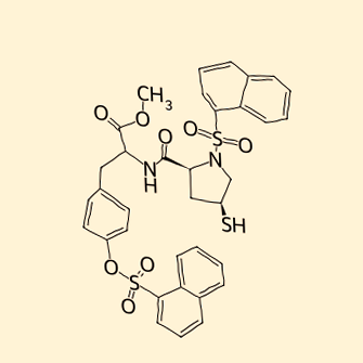 COC(=O)C(Cc1ccc(OS(=O)(=O)c2cccc3ccccc23)cc1)NC(=O)[C@@H]1C[C@H](S)CN1S(=O)(=O)c1cccc2ccccc12